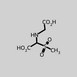 CS(=O)(=O)C(NCC(=O)O)C(=O)O